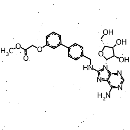 COC(=O)COc1cccc(-c2ccc(CNc3nc4c(N)ncnc4n3[C@@H]3O[C@H](CO)[C@@H](O)[C@H]3O)cc2)c1